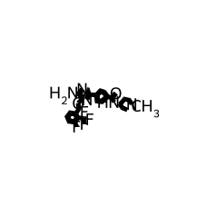 CN1CCC(NC(=O)c2ccc(-c3cnc(N)c(OCc4cccc(F)c4C(F)(F)F)n3)cc2)CC1